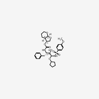 COc1ccc(S(=O)(=O)NC(OC2CCCC2)[C@H](O)[C@H](Cc2ccccc2)NC(=O)O[C@@H]2CO[C@@H]3OCCC[C@@H]32)cc1